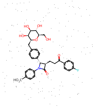 O=C(O)c1ccc(N2C(=O)[C@H](CCC(=O)c3ccc(F)cc3)[C@H]2c2ccc(C[C@@H]3O[C@H](CO)[C@@H](O)[C@H](O)[C@@H]3O)cc2)cc1